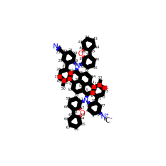 [C-]#[N+]c1ccc(N(c2cc(C(C)C)c3ccc4c(N(c5ccc(C#N)cc5-c5ccccc5)c5cccc6c5oc5ccccc56)cc(C(C)C)c5ccc2c3c54)c2cccc3c2oc2ccccc23)c(-c2ccccc2)c1